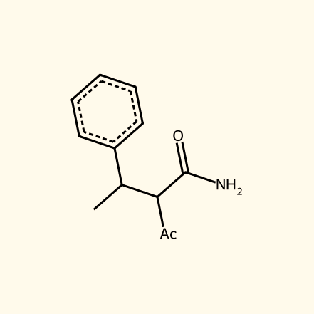 CC(=O)C(C(N)=O)C(C)c1ccccc1